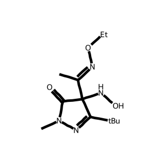 CCO/N=C(\C)C1(NO)C(=O)N(C)N=C1C(C)(C)C